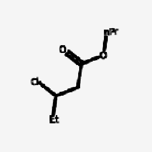 CCCOC(=O)CC(Cl)CC